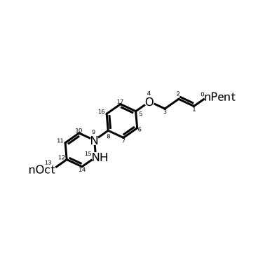 CCCCCC=CCOc1ccc(N2C=CC(CCCCCCCC)=CN2)cc1